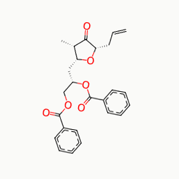 C=CC[C@@H]1O[C@H](C[C@@H](COC(=O)c2ccccc2)OC(=O)c2ccccc2)[C@H](C)C1=O